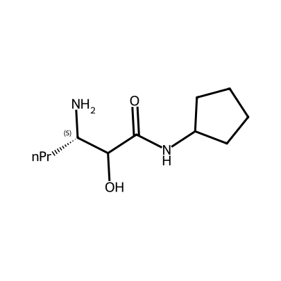 CCC[C@H](N)C(O)C(=O)NC1CCCC1